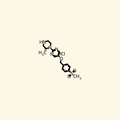 C[C@@H]1CNCCN1c1ncc(OCc2ccc(S(C)(=O)=O)cc2)cn1.Cl